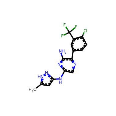 Cc1cc(Nc2cnc(-c3ccc(Cl)c(C(F)(F)F)c3)c(N)n2)n[nH]1